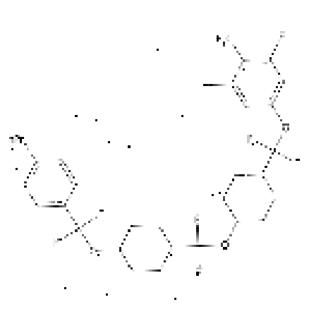 CCCc1ccc(C(F)(F)OC2CCC(C(F)(F)OC3CCC(C(F)(F)Oc4cc(F)c(C(F)(F)F)c(F)c4)CC3)CC2)cc1